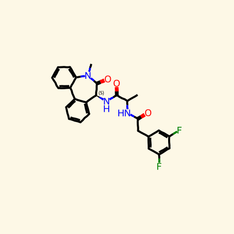 CC(NC(=O)Cc1cc(F)cc(F)c1)C(=O)N[C@@H]1C(=O)N(C)c2ccccc2-c2ccccc21